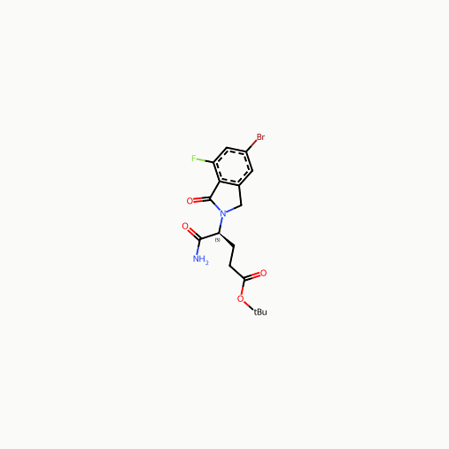 CC(C)(C)OC(=O)CC[C@@H](C(N)=O)N1Cc2cc(Br)cc(F)c2C1=O